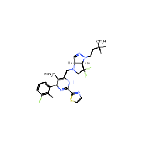 CCOC(=O)C1=C(CN2CC(F)(F)[C@H]3[C@@H]2C=NN3CCC(C)(C)C(=O)O)NC(c2nccs2)=N[C@H]1c1cccc(F)c1C